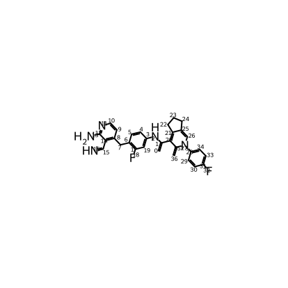 C=C(Nc1ccc(Cc2ccnc(N)c2C=N)c(F)c1)C1=C2CCCC2=CN(c2ccc(F)cc2)C1=C